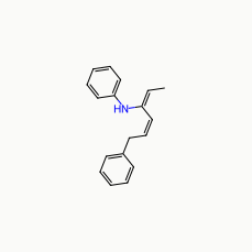 C/C=C(\C=C/Cc1ccccc1)Nc1ccccc1